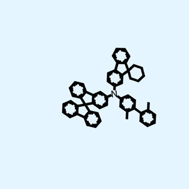 Cc1ccccc1-c1ccc(N(c2ccc3c(c2)-c2ccccc2C32c3ccccc3-c3ccccc32)c2ccc3c(c2)C2(CCCCC2)c2ccccc2-3)cc1C